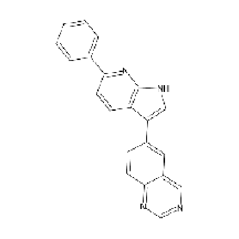 c1ccc(-c2ccc3c(-c4ccc5ncncc5c4)c[nH]c3n2)cc1